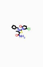 CC1=C(C(N)=O)SC(n2cc(Cl)ccc2=O)N1Cc1ccccc1